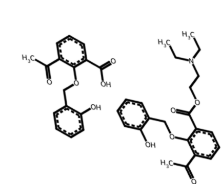 CC(=O)c1cccc(C(=O)O)c1OCc1ccccc1O.CCN(CC)CCOC(=O)c1cccc(C(C)=O)c1OCc1ccccc1O